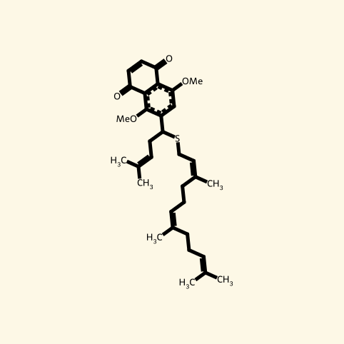 COc1cc(C(CC=C(C)C)SCC=C(C)CCC=C(C)CCC=C(C)C)c(OC)c2c1C(=O)C=CC2=O